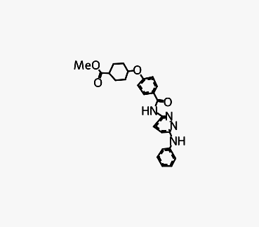 COC(=O)C1CCC(Oc2ccc(C(=O)Nc3ccc(Nc4ccccc4)nn3)cc2)CC1